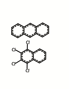 Clc1c(Cl)c(Cl)c2ccccc2c1Cl.c1ccc2cc3ccccc3cc2c1